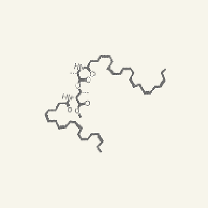 CC/C=C\C/C=C\C/C=C\C/C=C\C/C=C\C/C=C\CCC(=O)N[C@@H](C)C(=O)O[C@H](C)[C@H](NC(=O)CCC/C=C\C/C=C\C/C=C\C/C=C\C/C=C\CC)C(=O)OC